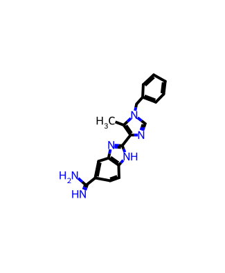 Cc1c(-c2nc3cc(C(=N)N)ccc3[nH]2)ncn1Cc1ccccc1